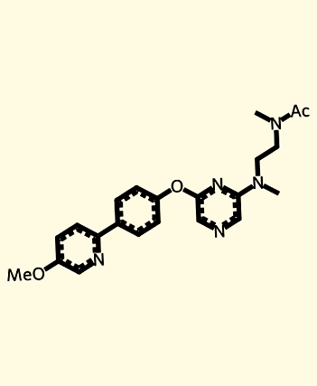 COc1ccc(-c2ccc(Oc3cncc(N(C)CCN(C)C(C)=O)n3)cc2)nc1